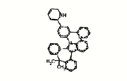 CC1(C)c2ccccc2-c2c(n(-c3ccc(C4=CC=CCN4)cc3-c3ccccn3)c3ccccc23)-c2ccccc21